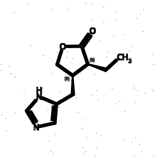 CC[C@@H]1C(=O)OC[C@@H]1Cc1cnc[nH]1